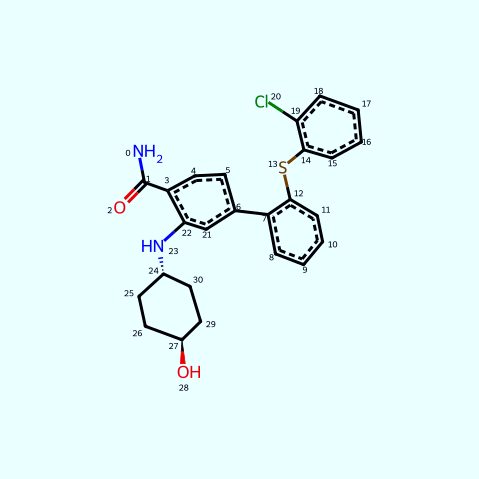 NC(=O)c1ccc(-c2ccccc2Sc2ccccc2Cl)cc1N[C@H]1CC[C@H](O)CC1